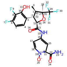 C[C@@H]1[C@@H](c2ccc(F)c(F)c2O)[C@H](C(=O)Nc2cc[n+]([O-])c(C(N)=O)c2)O[C@]1(C)C(F)(F)F